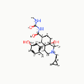 CNC(=O)NC(=O)C1CCC2(O)C(C)N(CC3CC3)CCC2(c2cc(O)ccc2C)C1